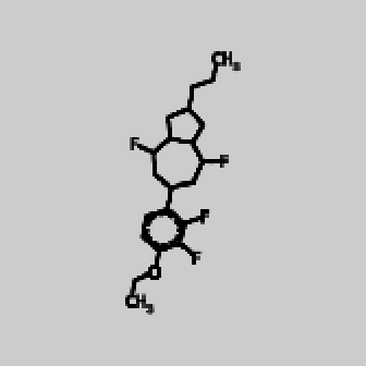 CCCC1CC2C(F)CC(c3ccc(OCC)c(F)c3F)CC(F)C2C1